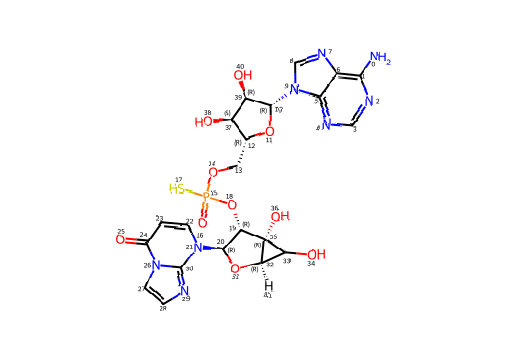 Nc1ncnc2c1ncn2[C@@H]1O[C@H](COP(=O)(S)O[C@H]2[C@H](n3ccc(=O)n4ccnc34)O[C@@H]3C(O)[C@@]32O)[C@@H](O)[C@H]1O